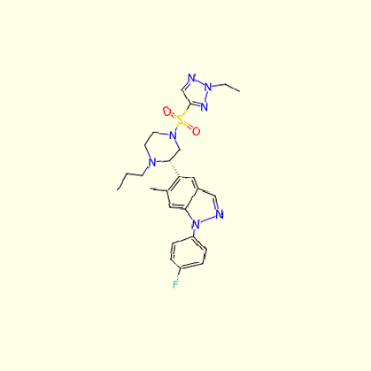 CCCN1CCN(S(=O)(=O)c2cnn(CC)n2)C[C@@H]1c1cc2cnn(-c3ccc(F)cc3)c2cc1C